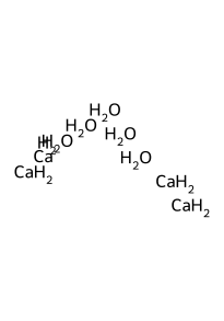 O.O.O.O.O.[CaH2].[CaH2].[CaH2].[CaH2]